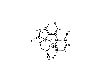 O=C1CCC2(CN1)C(=O)Nc1cccc(-c3cc(F)ccc3F)c12